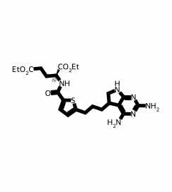 CCOC(=O)CC[C@H](NC(=O)c1ccc(CCCC2CNc3nc(N)nc(N)c32)s1)C(=O)OCC